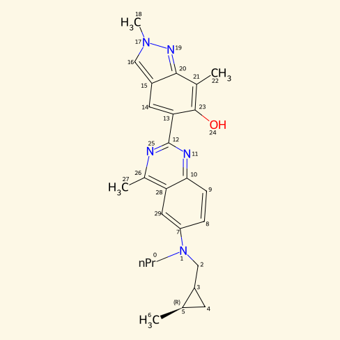 CCCN(CC1C[C@H]1C)c1ccc2nc(-c3cc4cn(C)nc4c(C)c3O)nc(C)c2c1